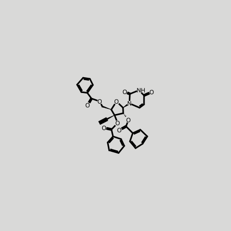 C#C[C@@]1(OC(=O)c2ccccc2)[C@@H](COC(=O)c2ccccc2)O[C@@H](n2ccc(=O)[nH]c2=O)[C@@H]1OC(=O)c1ccccc1